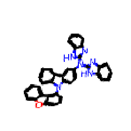 c1ccc2[nH]c(N(c3ccc4c(c3)c3ccccc3n4-c3cccc4oc5ccccc5c34)c3nc4ccccc4[nH]3)nc2c1